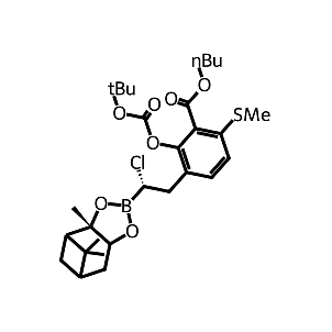 CCCCOC(=O)c1c(SC)ccc(C[C@@H](Cl)B2OC3CC4CC(C4(C)C)[C@]3(C)O2)c1OC(=O)OC(C)(C)C